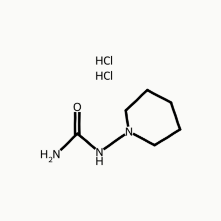 Cl.Cl.NC(=O)NN1CCCCC1